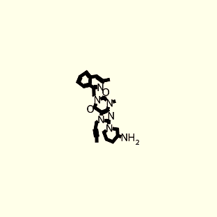 CC#CCn1c(N2CCCC(N)C2)nc2c1c(=O)n(Cc1nc(C)cc3ccccc13)c(=O)n2C